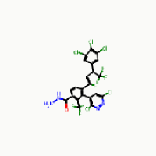 NNC(=O)c1ccc(C(F)=CC(c2cc(Cl)c(Cl)c(Cl)c2)C(F)(F)F)c(-c2cc(Cl)nnc2Cl)c1C(F)(F)F